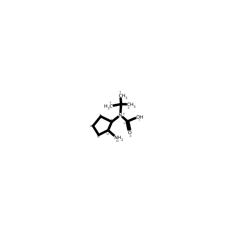 CC(C)(C)N(C(=O)O)C1CCCC1N